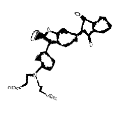 CCCCCCCCCCCCN(CCCCCCCCCCCC)c1ccc(C2=c3ccc(=C4C(=O)c5ccccc5C4=O)cc3OC2=O)cc1